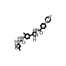 Cc1cc(NC(=O)Nc2ccc(-c3cc(NC(=O)c4ccc(N5CCN(C)CC5)cc4)n[nH]3)cc2C)no1